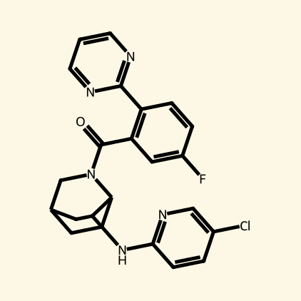 O=C(c1cc(F)ccc1-c1ncccn1)N1CC2CCC1C(Nc1ccc(Cl)cn1)C2